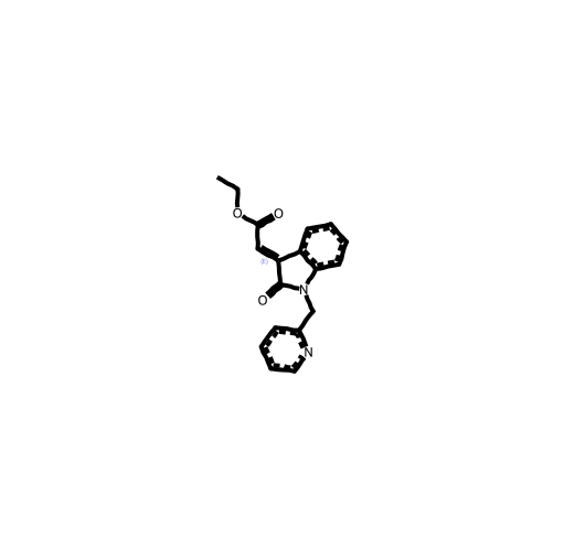 CCOC(=O)/C=C1/C(=O)N(Cc2ccccn2)c2ccccc21